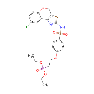 CCOP(=O)(CCOc1ccc(S(=O)(=O)Nc2nc3c(s2)COc2ccc(F)cc2-3)cc1)OCC